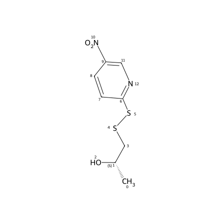 C[C@H](O)CSSc1ccc([N+](=O)[O-])cn1